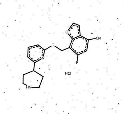 Cl.N#Cc1cc(F)c(COc2cccc(C3CCNCC3)n2)c2occc12